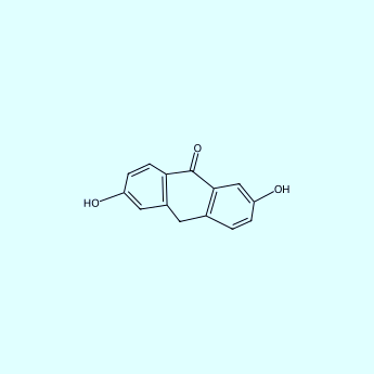 O=C1c2ccc(O)cc2Cc2ccc(O)cc21